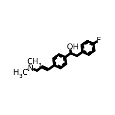 CN(C)CC=Cc1ccc(C(O)Cc2ccc(F)cc2)cc1